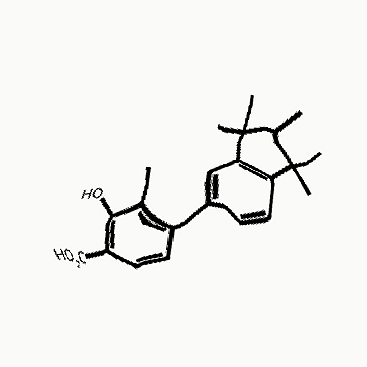 Cc1c(-c2ccc3c(c2)C(C)(C)C(C)C3(C)C)ccc(C(=O)O)c1O